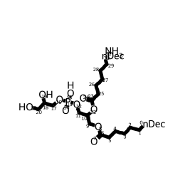 CCCCCCCCCCCCCCCC(=O)OCC(COP(=O)(O)OCC(O)CO)OC(=O)CCCCCCCCCCCCCCC.N